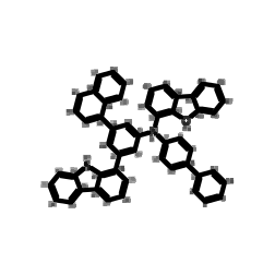 c1ccc(-c2ccc(N(c3cc(-c4cccc5ccccc45)cc(-c4cccc5c4sc4ccccc45)c3)c3cccc4c3oc3ccccc34)cc2)cc1